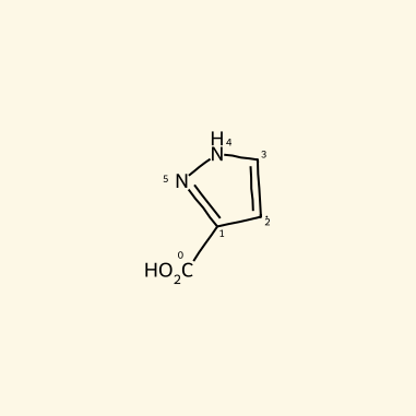 O=C(O)c1[c]c[nH]n1